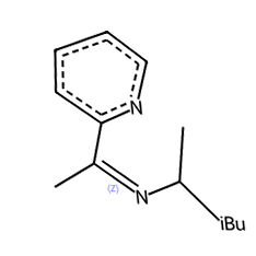 CCC(C)C(C)/N=C(/C)c1ccccn1